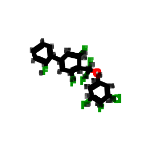 Fc1ccccc1-c1cc(F)c(C(F)(F)Oc2cc(F)c(F)c(Cl)c2)c(F)c1